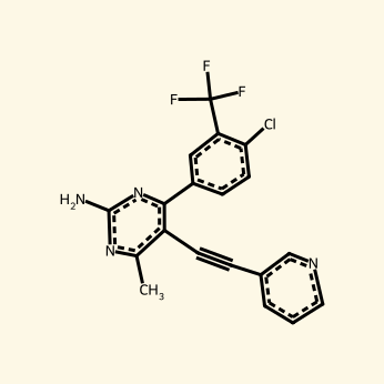 Cc1nc(N)nc(-c2ccc(Cl)c(C(F)(F)F)c2)c1C#Cc1cccnc1